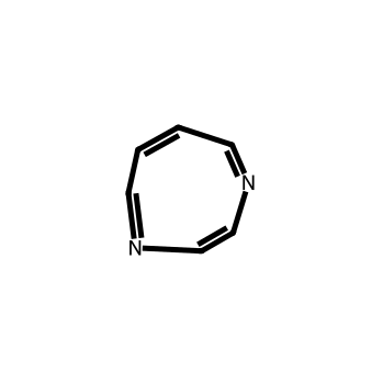 C1=C\C=N/C=C\N=C/1